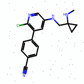 CNC1(CNc2cnc(Cl)c(-c3ccc(C#N)cc3)c2)CC1